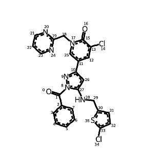 O=C(c1ccccc1)n1nc(-c2cc(Cl)c(=O)n(Cc3ncccn3)c2)cc1NCc1ccc(Cl)s1